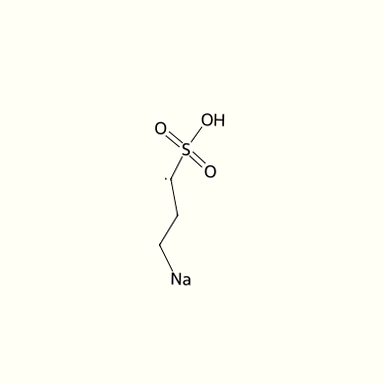 O=S(=O)(O)[CH]C[CH2][Na]